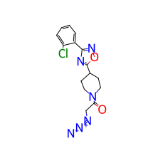 [N-]=[N+]=NCC(=O)N1CCC(c2nc(-c3ccccc3Cl)no2)CC1